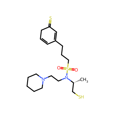 C[C@H](CS)N(CCN1CCCCC1)S(=O)(=O)CCCC1=CC(=S)CC=C1